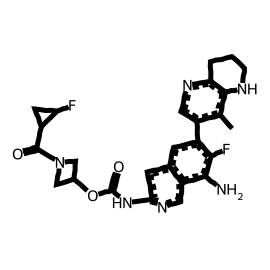 Cc1c(-c2cc3cc(NC(=O)OC4CN(C(=O)C5CC5F)C4)ncc3c(N)c2F)cnc2c1NCCC2